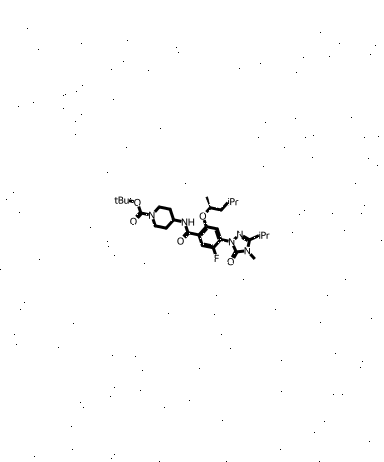 CC(C)C[C@H](C)Oc1cc(-n2nc(C(C)C)n(C)c2=O)c(F)cc1C(=O)NC1CCN(C(=O)OC(C)(C)C)CC1